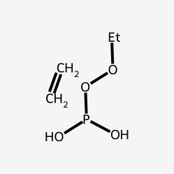 C=C.CCOOP(O)O